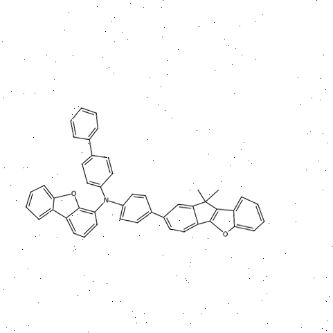 CC1(C)c2cc(-c3ccc(N(c4ccc(-c5ccccc5)cc4)c4cccc5c4oc4ccccc45)cc3)ccc2-c2oc3ccccc3c21